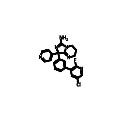 NC1=NC(c2ccncc2)(c2cccc(-c3cc(Cl)cnc3F)c2)C2=NCCCN12